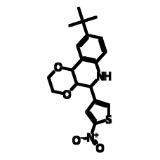 CC(C)(C)c1ccc2c(c1)C1OCCOC1C(c1csc([N+](=O)[O-])c1)N2